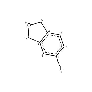 Ic1ccc2c(c1)COC2